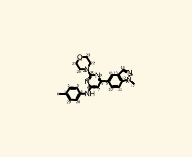 Cc1ccc(Nc2cc(-c3ccc4c(cnn4C)c3)nc(N3CCOCC3)n2)cc1